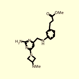 CNC1CN(c2cc(CNc3cccc(CCC(=O)OC)c3)nc(N)n2)C1